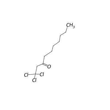 CCCCCCCC(=O)CC(Cl)(Cl)Cl